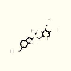 COc1c(C)cnc(C[S+]([O-])c2cc3ccc(CO)cc3[nH]2)c1C